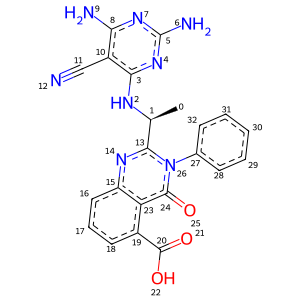 C[C@H](Nc1nc(N)nc(N)c1C#N)c1nc2cccc(C(=O)O)c2c(=O)n1-c1ccccc1